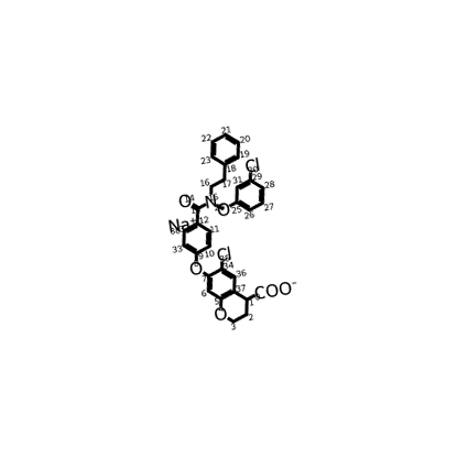 O=C([O-])C1CCOc2cc(Oc3ccc(C(=O)N(CCc4ccccc4)Oc4cccc(Cl)c4)cc3)c(Cl)cc21.[Na+]